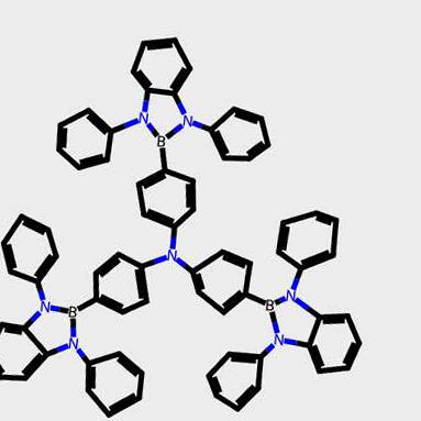 c1ccc(N2B(c3ccc(N(c4ccc(B5N(c6ccccc6)c6ccccc6N5c5ccccc5)cc4)c4ccc(B5N(c6ccccc6)c6ccccc6N5c5ccccc5)cc4)cc3)N(c3ccccc3)c3ccccc32)cc1